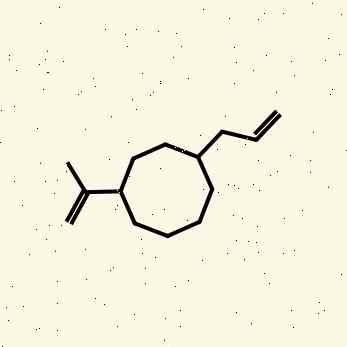 C=CCC1CCCCC(C(=C)C)CC1